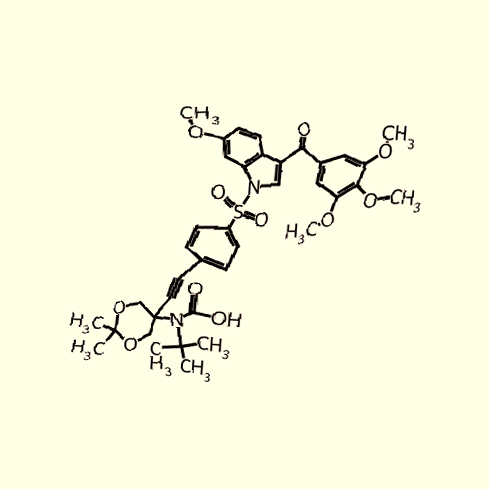 COc1ccc2c(C(=O)c3cc(OC)c(OC)c(OC)c3)cn(S(=O)(=O)c3ccc(C#CC4(N(C(=O)O)C(C)(C)C)COC(C)(C)OC4)cc3)c2c1